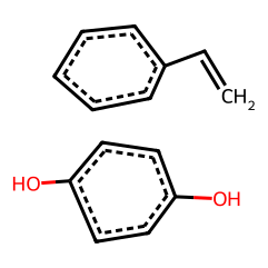 C=Cc1ccccc1.Oc1ccc(O)cc1